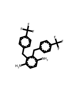 Nc1ccc(N)c(Cc2ccc(C(F)(F)F)cc2)c1Cc1ccc(C(F)(F)F)cc1